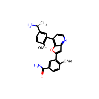 COc1ccc(C(N)=O)cc1-c1cc2nccc(-c3cc([C@@H](C)N)ccc3OC)c2o1